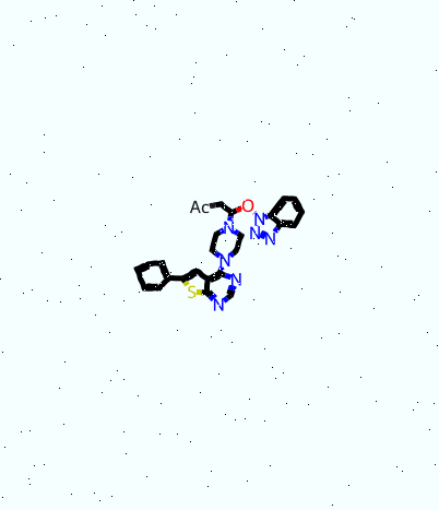 CC(=O)CC(On1nnc2ccccc21)N1CCN(c2ncnc3sc(-c4ccccc4)cc23)CC1